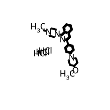 CCN1CCN(c2nc(-c3ccc(N4CCC(OC)CC4)cc3)cc3ccccc23)CC1.Cl.Cl.Cl